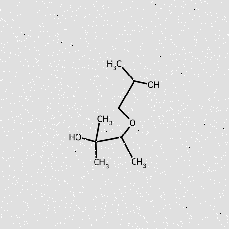 CC(O)COC(C)C(C)(C)O